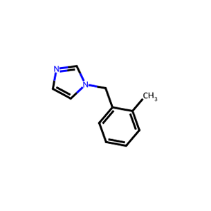 Cc1ccccc1Cn1ccnc1